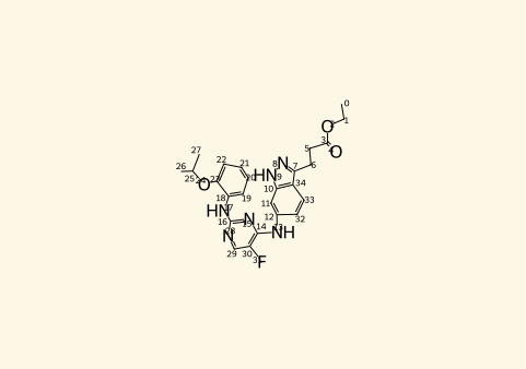 CCOC(=O)CCc1n[nH]c2cc(Nc3nc(Nc4ccccc4OC(C)C)ncc3F)ccc12